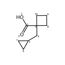 O=C(O)C1(CC2CC2)CCC1